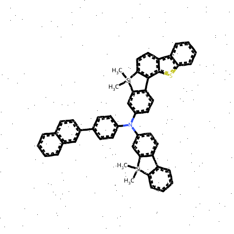 C[Si]1(C)c2ccccc2-c2ccc(N(c3ccc(-c4ccc5ccccc5c4)cc3)c3ccc4c(c3)[Si](C)(C)c3ccc5c(sc6ccccc65)c3-4)cc21